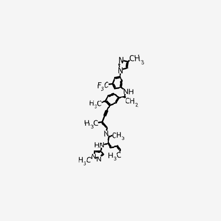 C=C(Nc1cc(-n2cnc(C)c2)cc(C(F)(F)F)c1)c1ccc(C)c(C#C/C(C)=C/N=C(C)/C(=C\C=C/C)Nc2cnn(C)c2)c1